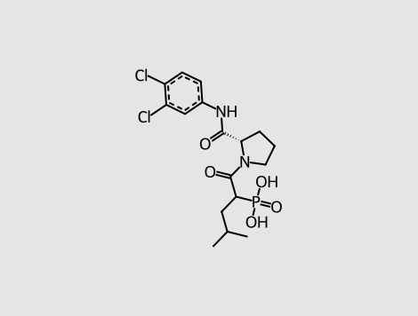 CC(C)CC(C(=O)N1CCC[C@H]1C(=O)Nc1ccc(Cl)c(Cl)c1)P(=O)(O)O